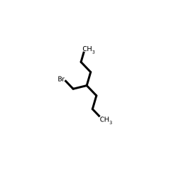 CCCC(CBr)CCC